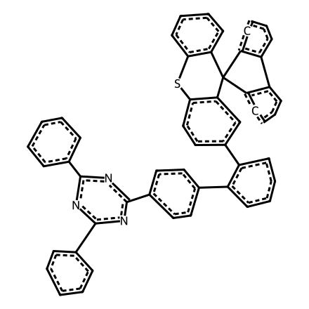 c1ccc(-c2nc(-c3ccccc3)nc(-c3ccc(-c4ccccc4-c4ccc5c(c4)C4(c6ccccc6S5)c5ccccc5-c5ccccc54)cc3)n2)cc1